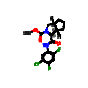 CC(C)(C)OC(=O)N1C[C@@H]2CCC[C@@H]2[C@H]1C(=O)Nc1cc(Cl)c(F)cc1F